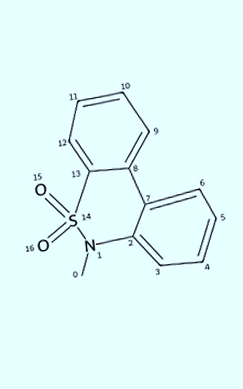 CN1c2ccccc2-c2ccccc2S1(=O)=O